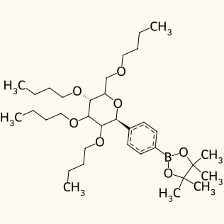 CCCCOCC1O[C@@H](c2ccc(B3OC(C)(C)C(C)(C)O3)cc2)C(OCCCC)C(OCCCC)[C@@H]1OCCCC